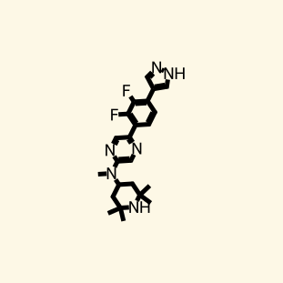 CN(c1cnc(-c2ccc(-c3cn[nH]c3)c(F)c2F)cn1)C1CC(C)(C)NC(C)(C)C1